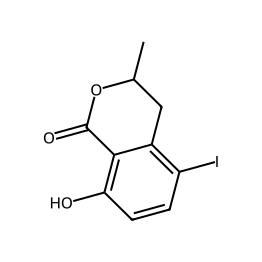 CC1Cc2c(I)ccc(O)c2C(=O)O1